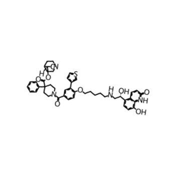 O=C(c1ccc(OCCCCCNC[C@H](O)c2ccc(O)c3[nH]c(=O)ccc23)c(-c2ccsc2)c1)N1CCC(C(=O)O[C@H]2CN3CCC2CC3)(c2ccccc2)CC1